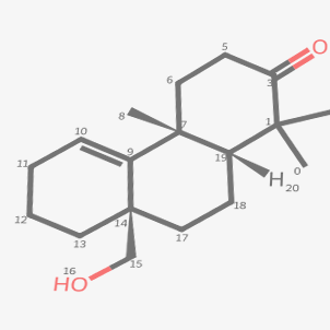 CC1(C)C(=O)CC[C@@]2(C)C3=CCCC[C@@]3(CO)CC[C@@H]12